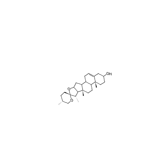 C[C@@H]1CC[C@@]2(OC1)OC1CC3C4CC=C5CC(O)CC[C@]5(C)C4CC[C@]3(C)C1[C@@H]2C